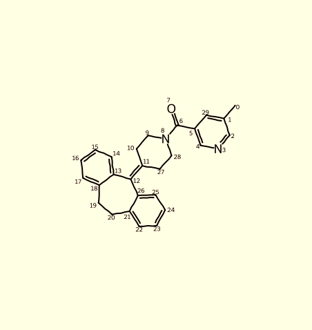 Cc1cncc(C(=O)N2CCC(=C3c4ccccc4CCc4ccccc43)CC2)c1